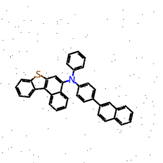 c1ccc(N(c2ccc(-c3ccc4ccccc4c3)cc2)c2cc3sc4ccccc4c3c3ccccc23)cc1